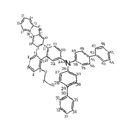 CCCc1cccc(-c2ccc3sc4ccccc4c3c2)c1-c1cc(N(c2ccc(-c3ccccc3)cc2)c2ccc(-c3ccccc3)cc2)ccc1C